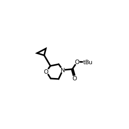 CC(C)(C)OC(=O)N1CCOC(C2CC2)C1